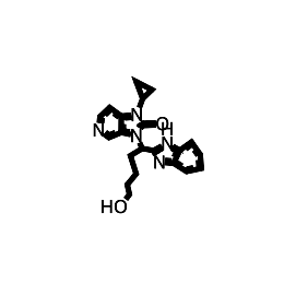 O=c1n(C2CC2)c2ccncc2n1C(CCCCO)c1nc2ccccc2[nH]1